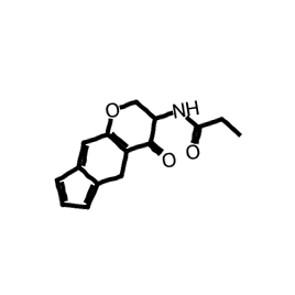 CCC(=O)NC1COC2=C(CC3=CC=CC3=C2)C1=O